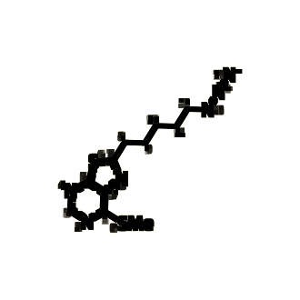 CSc1ncnc2sc(CCCCCN=[N+]=[N-])nc12